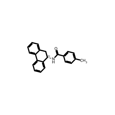 Cc1ccc(C(=O)N[C@H]2Cc3ccccc3-c3ccccc32)cc1